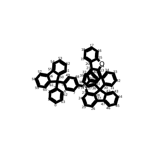 c1ccc(C2(c3ccc(N(c4ccc5oc6ccccc6c5c4)c4cccc5c4C(c4ccccc4)(c4ccccc4)c4ccccc4-5)cc3)c3ccccc3-c3ccccc32)cc1